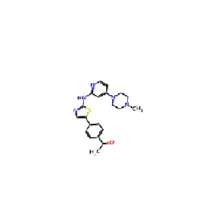 CC(=O)c1ccc(-c2cnc(Nc3cc(N4CCN(C)CC4)ccn3)s2)cc1